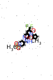 CC1(O)CCC[C@H]1n1c(=O)c(C(F)F)cc2cnc(NC3CCN(S(C)(=O)=O)CC3)cc21